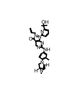 C=CCn1c(=O)c2cnc(Nc3ccc(N4C[C@@H]5C[C@H]4CN5C)c(C)c3)nc2n1-c1cccc(C(C)(C)O)n1